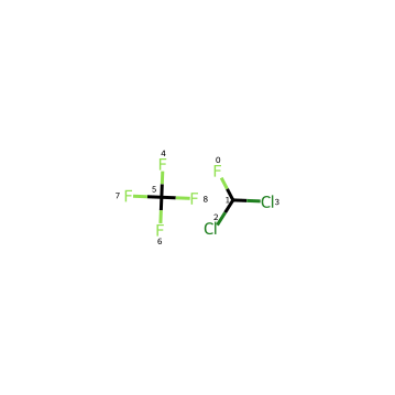 FC(Cl)Cl.FC(F)(F)F